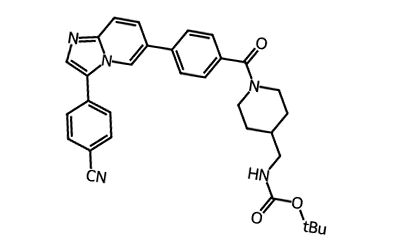 CC(C)(C)OC(=O)NCC1CCN(C(=O)c2ccc(-c3ccc4ncc(-c5ccc(C#N)cc5)n4c3)cc2)CC1